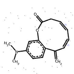 C=C1/C=C\C=C/CC(=O)Oc2cc(N(C)C)ccc21